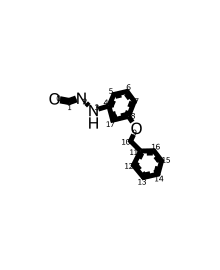 O=C=NNc1cccc(OCc2ccccc2)c1